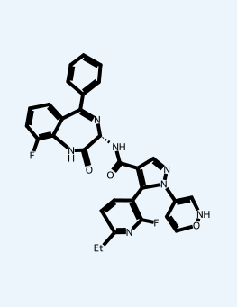 CCc1ccc(-c2c(C(=O)N[C@H]3N=C(c4ccccc4)c4cccc(F)c4NC3=O)cnn2C2=CNOC=C2)c(F)n1